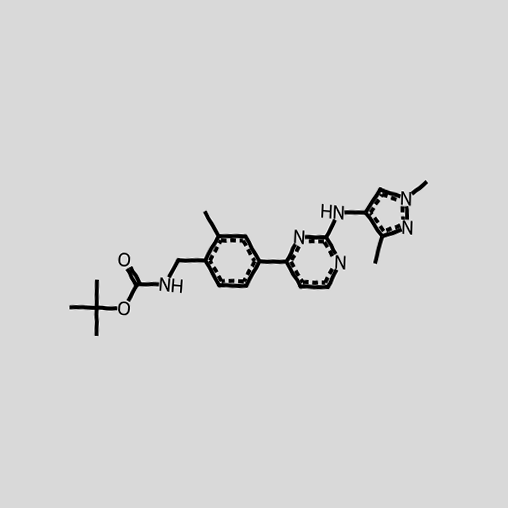 Cc1cc(-c2ccnc(Nc3cn(C)nc3C)n2)ccc1CNC(=O)OC(C)(C)C